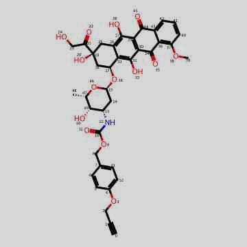 C#CCOc1ccc(COC(=O)N[C@H]2C[C@H](O[C@H]3C[C@](O)(C(=O)CO)Cc4c(O)c5c(c(O)c43)C(=O)c3c(OC)cccc3C5=O)O[C@@H](C)[C@H]2O)cc1